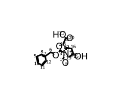 O=C[N+]1(C(=O)OCc2ccccc2)C[C@H](O)C[C@H]1CC(=O)O